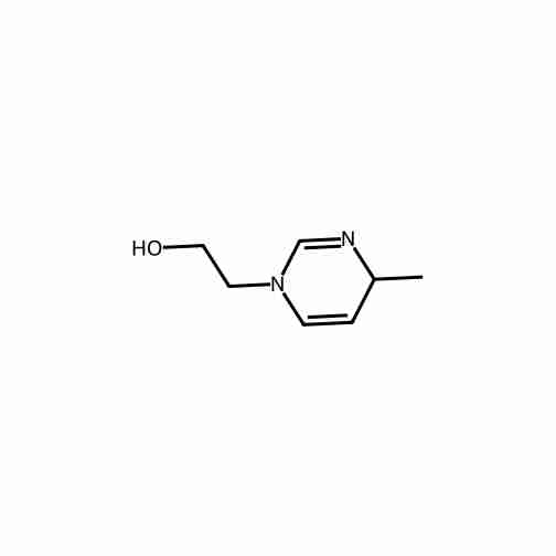 CC1C=CN(CCO)C=N1